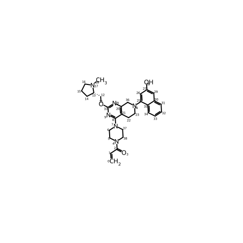 C=CC(=O)N1CCN(c2nc(OC[C@@H]3CCCN3C)nc3c2CCN(c2cc(O)cc4ccccc24)C3)CC1